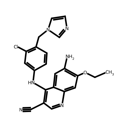 CCOc1cc2ncc(C#N)c(Nc3ccc(Cn4ccnc4)c(Cl)c3)c2cc1N